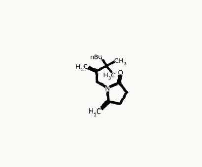 C=C1CCC(=O)N1CC(=C)C(C)(C)CCCC